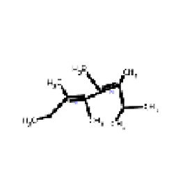 BC(=C(\C)C(C)C)/C(C)=C(\C)CC